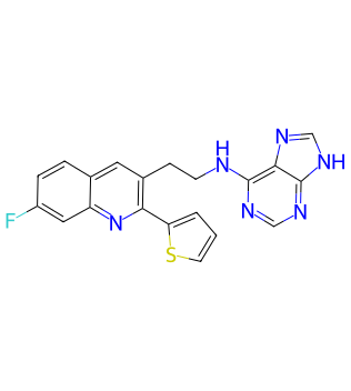 Fc1ccc2cc(CCNc3ncnc4[nH]cnc34)c(-c3cccs3)nc2c1